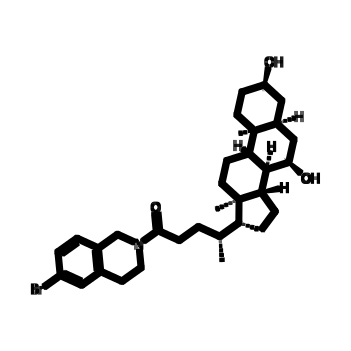 C[C@H](CCC(=O)N1CCc2cc(Br)ccc2C1)[C@H]1CC[C@H]2[C@@H]3[C@H](O)C[C@@H]4C[C@H](O)CC[C@]4(C)[C@H]3CC[C@]12C